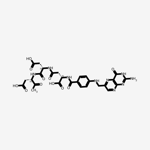 CC(=O)[C@H](CC(=O)O)NC(=O)[C@H](CC(=O)O)NC(=O)C[C@H](NC(=O)c1ccc(NCc2cnc3nc(N)[nH]c(=O)c3n2)cc1)C(=O)O